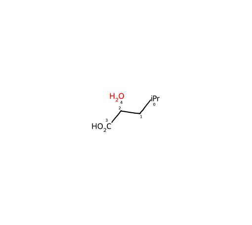 CC(C)CCC(=O)O.O